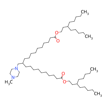 CCCCCC(CCCCC)CCOC(=O)CCCCCCCCCC(CCCCCCCCCC(=O)OCCC(CCCCC)CCCCC)CN1CCN(C)CC1